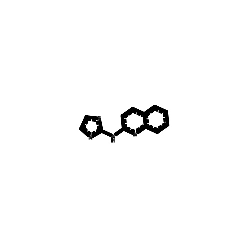 c1ccc2nc(Nc3nccs3)ccc2c1